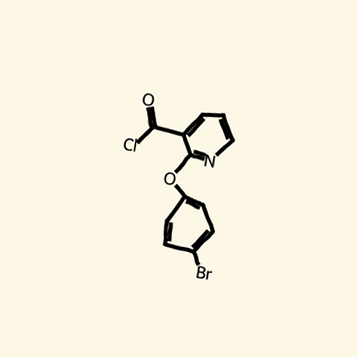 O=C(Cl)c1cccnc1Oc1ccc(Br)cc1